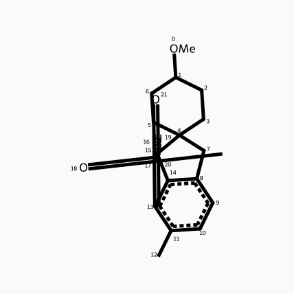 COC1CCC2(CC1)Cc1ccc(C)cc1C21NC(=O)NC1=O